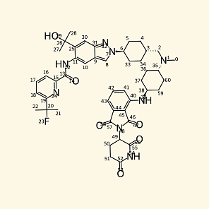 CN(C[C@H]1CC[C@H](n2cc3cc(NC(=O)c4cccc(C(C)(C)F)n4)c(C(C)(C)O)cc3n2)CC1)[C@H]1CC[C@H](Nc2cccc3c2C(=O)N(C2CCC(=O)NC2=O)C3=O)CC1